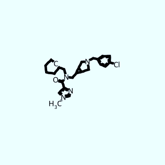 Cn1cnc(C(=O)N(CC2CCCCC2)CC2C3CN(Cc4ccc(Cl)cc4)CC32)c1